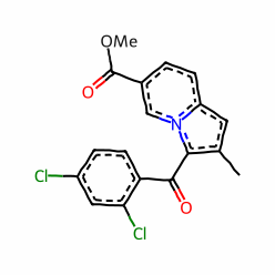 COC(=O)c1ccc2cc(C)c(C(=O)c3ccc(Cl)cc3Cl)n2c1